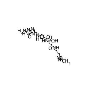 Cn1cc(CCCCNC(=O)CC[C@H](NC(=O)c2ccc(NCc3cnc4nc(N)[nH]c(=O)c4n3)cc2)C(=O)O)nn1